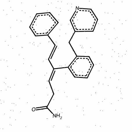 NC(=O)C[C]=C(C=Cc1ccccc1)c1ccccc1Cc1cccnc1